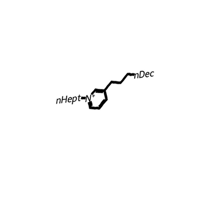 CCCCCCCCCCCCCc1ccc[n+](CCCCCCC)c1